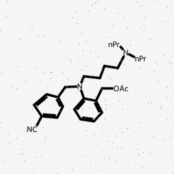 CCCN(CCC)CCCCN(Cc1ccc(C#N)cc1)c1ccccc1COC(C)=O